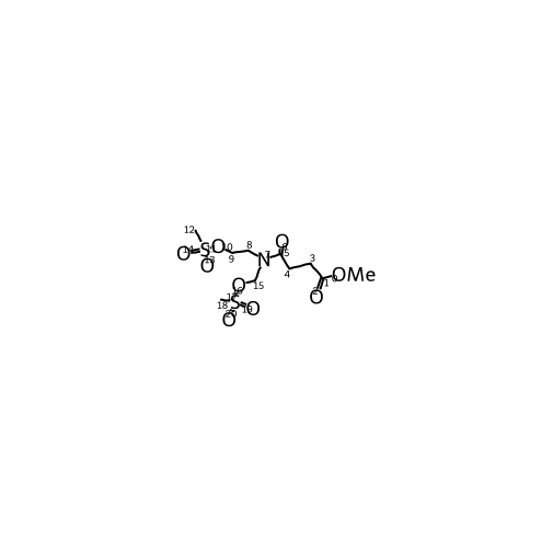 COC(=O)CCC(=O)N(CCOS(C)(=O)=O)COS(C)(=O)=O